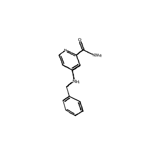 CNC(=O)c1cc(NCc2ccccc2)ccn1